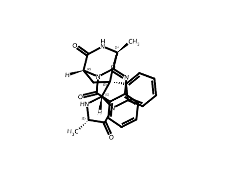 C[C@@H]1N[C@H]2N(C1=O)c1ccccc1[C@@]21C[C@@H]2C(=O)N[C@@](C)(O1)c1nc3ccccc3c(=O)n12